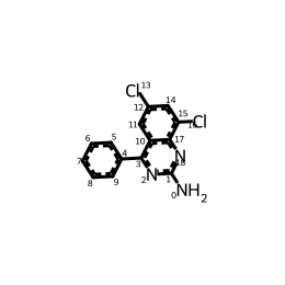 Nc1nc(-c2ccccc2)c2cc(Cl)cc(Cl)c2n1